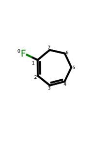 FC1=CC=CCCC1